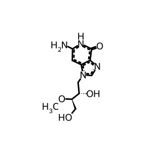 CO[C@H](CO)[C@@H](O)Cn1cnc2c(=O)[nH]c(N)cc21